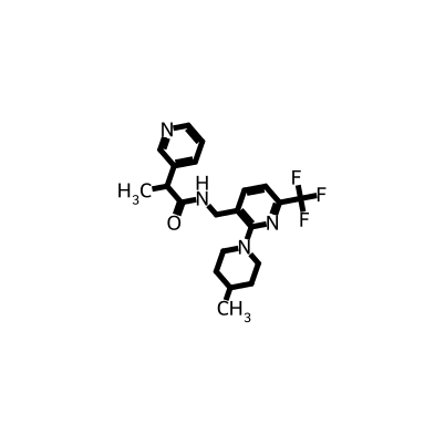 CC1CCN(c2nc(C(F)(F)F)ccc2CNC(=O)C(C)c2cccnc2)CC1